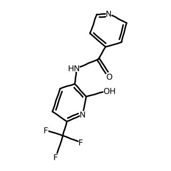 O=C(Nc1ccc(C(F)(F)F)nc1O)c1ccncc1